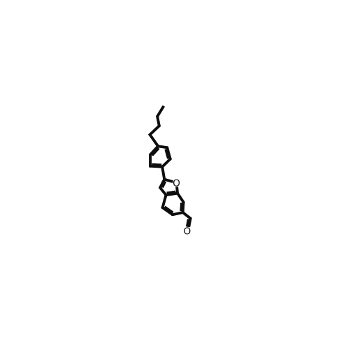 CCCCc1ccc(-c2cc3ccc(C=O)cc3o2)cc1